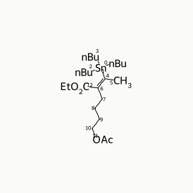 CCC[CH2][Sn]([CH2]CCC)([CH2]CCC)/[C](C)=C(/CCCCOC(C)=O)C(=O)OCC